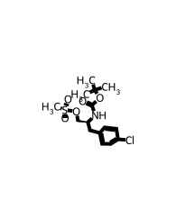 CC(C)(C)OC(=O)N[C@H](COS(C)(=O)=O)Cc1ccc(Cl)cc1